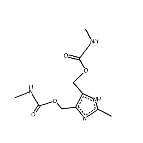 CNC(=O)OCc1nc(C)[nH]c1COC(=O)NC